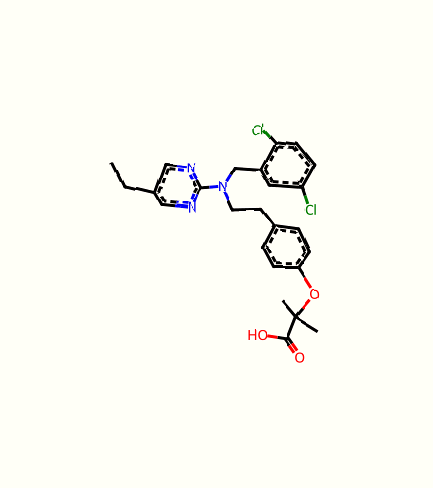 CCc1cnc(N(CCc2ccc(OC(C)(C)C(=O)O)cc2)Cc2cc(Cl)ccc2Cl)nc1